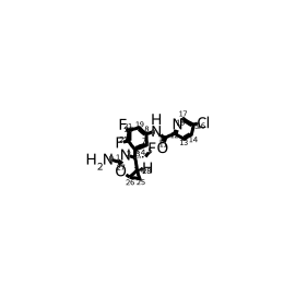 NC1=N[C@@](CF)(c2cc(NC(=O)c3ccc(Cl)cn3)cc(F)c2F)[C@@H]2CC2O1